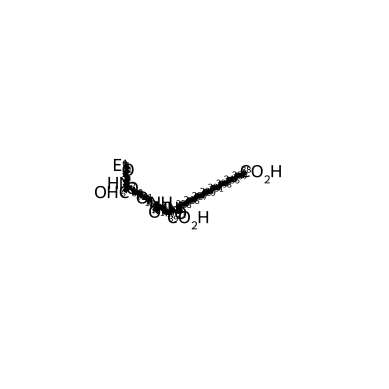 CCOCCNC(C=O)OCCOCCNC(=O)CC[C@H](NC(=O)CCCCCCCCCCCCCCCCC(=O)O)C(=O)O